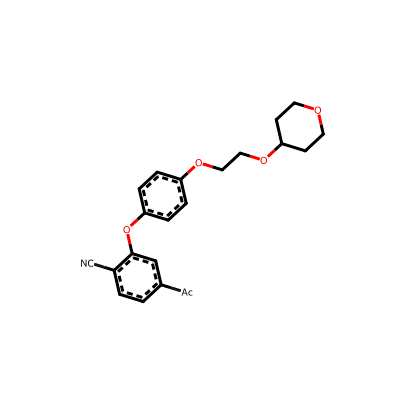 CC(=O)c1ccc(C#N)c(Oc2ccc(OCCOC3CCOCC3)cc2)c1